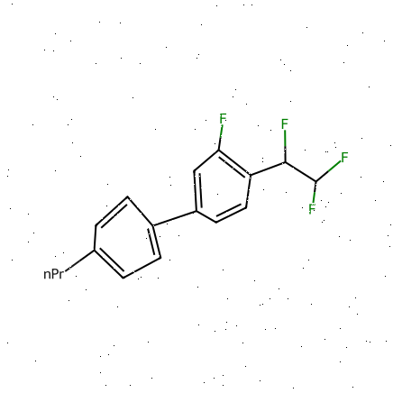 CCCc1ccc(-c2ccc(C(F)C(F)F)c(F)c2)cc1